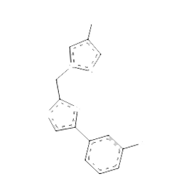 CC(=O)c1cccc(-c2csc(Cn3cc(C(=O)O)cn3)n2)c1